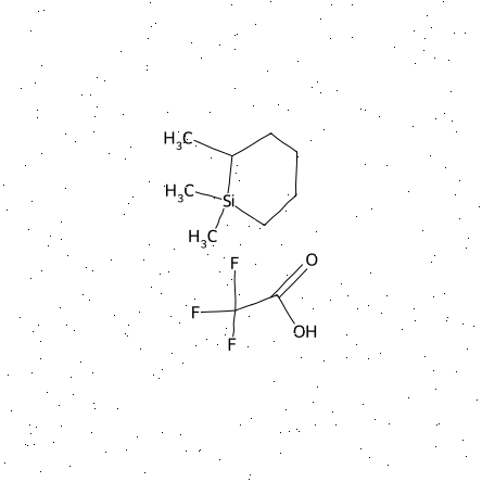 CC1CCCC[Si]1(C)C.O=C(O)C(F)(F)F